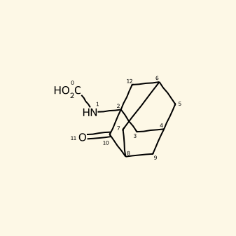 O=C(O)NC12CC3CC(CC(C3)C1=O)C2